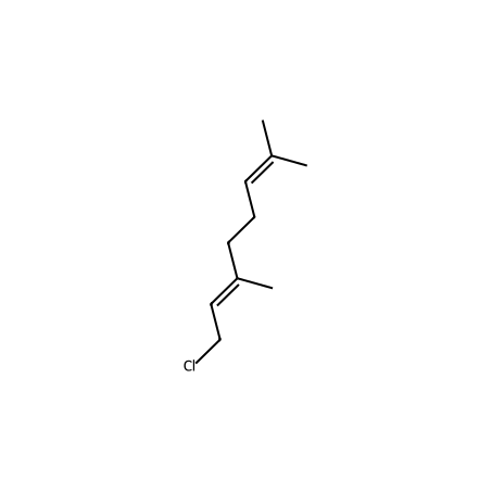 CC(C)=CCC/C(C)=C/CCl